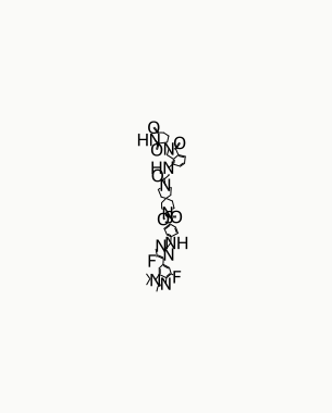 Cc1nc2c(F)cc(-c3nc(Nc4ccc(S(=O)(=O)N5CCC6(CCN(C(=O)CNc7cccc8c7CN(C7CCC(=O)NC7=O)C8=O)CC6)CC5)cc4)ncc3F)cc2n1C(C)C